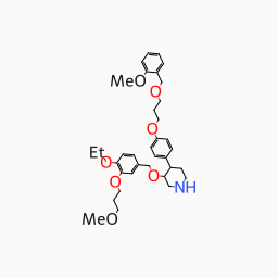 CCOc1ccc(COC2CNCCC2c2ccc(OCCCOCc3ccccc3OC)cc2)cc1OCCCOC